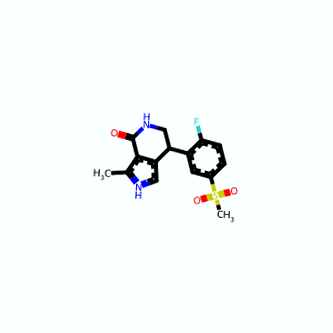 Cc1[nH]cc2c1C(=O)NCC2c1cc(S(C)(=O)=O)ccc1F